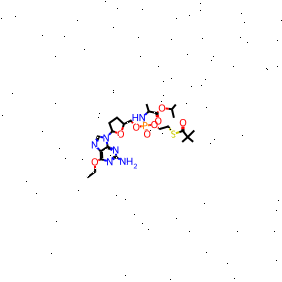 CCOc1nc(N)nc2c1ncn2C1CCC(COP(=O)(NC(C)C(=O)OC(C)C)OCCSC(=O)C(C)(C)C)O1